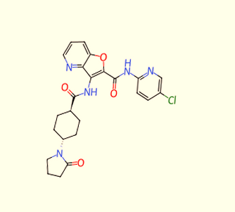 O=C(Nc1ccc(Cl)cn1)c1oc2cccnc2c1NC(=O)[C@H]1CC[C@H](N2CCCC2=O)CC1